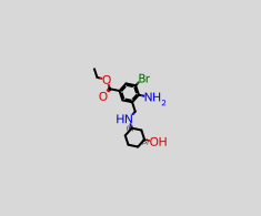 CCOC(=O)c1cc(Br)c(N)c(CN[C@@H]2CCC[C@H](O)C2)c1